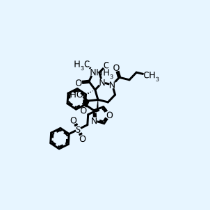 CCCC(=O)N1CC[C@](CCCS(=O)(=O)c2ccccc2)(C(=O)O)[C@](C(=O)NC)(c2ccccc2-c2cocn2)N1CC